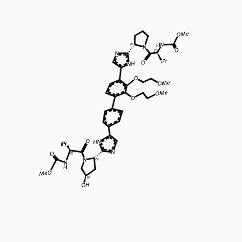 COCCOc1c(-c2ccc(-c3cnc([C@@H]4C[C@@H](O)CN4C(=O)[C@@H](NC(=O)OC)C(C)C)[nH]3)cc2)ccc(-c2cnc([C@@H]3CCCN3C(=O)[C@@H](NC(=O)OC)C(C)C)[nH]2)c1OCCOC